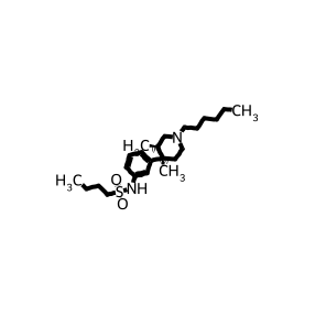 CCCCCCN1CC[C@](C)(c2cccc(NS(=O)(=O)CCCC)c2)[C@@H](C)C1